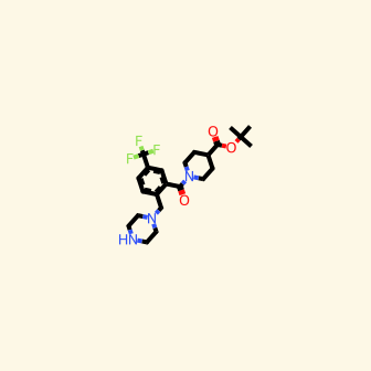 CC(C)(C)OC(=O)C1CCN(C(=O)c2cc(C(F)(F)F)ccc2CN2CCNCC2)CC1